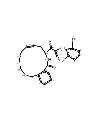 Cc1cccc(C)c1NC(=O)C(=O)[C@@H]1C/C=C\COCCOCc2ccccc2C(=O)N1